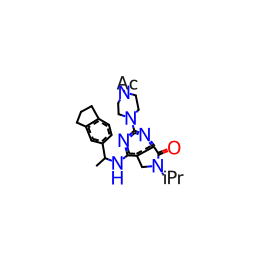 CC(=O)N1CCN(c2nc(NC(C)c3ccc4c(c3)CCC4)c3c(n2)C(=O)N(C(C)C)C3)CC1